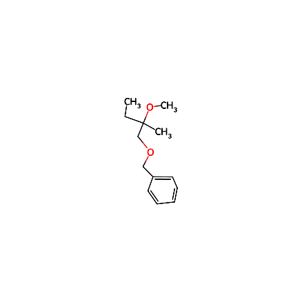 CCC(C)(COCc1ccccc1)OC